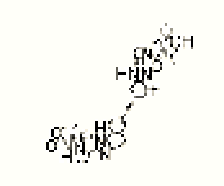 COC(=O)N[C@H](C(=O)N1CCCC1c1nc2ccc3cc(C#Cc4cc(F)c5nc([C@@H]6CCCN6C(=O)[C@H](C(C)C)N(C)C(=O)O)[nH]c5c4)ccc3c2[nH]1)C(C)C